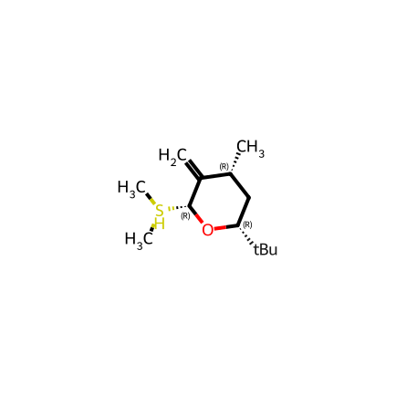 C=C1[C@H](C)C[C@H](C(C)(C)C)O[C@@H]1[SH](C)C